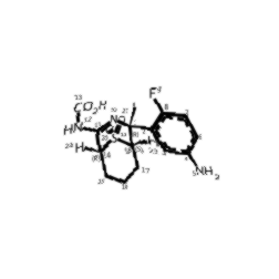 C[C@]1(c2cc(N)ccc2F)N=C(NC(=O)O)[C@H]2CCC[C@@H]1S2(=O)=O